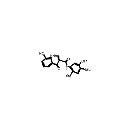 CC(C)(C)c1cc(C(C)(C)C)c(NC(=O)c2c[nH]c3c(C#N)cccc3c2=O)cc1O